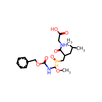 COC(NC(=O)OCc1ccccc1)[PH](=O)CC(CC(C)C)C(=O)NCC(=O)O